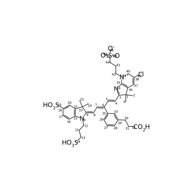 CC1(C)C(/C=C/C(=C/C=C2/N(CCCS(=O)(=O)O)c3ccc(S(=O)(=O)O)cc3C2(C)C)c2cccc(CCC(=O)O)c2)=Nc2c1cc(Cl)c[n+]2CCCS(=O)(=O)[O-]